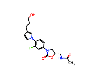 CC(=O)NC[C@H]1CN(c2ccc(-n3ccc(CCCO)c3)c(F)c2)C(=O)O1